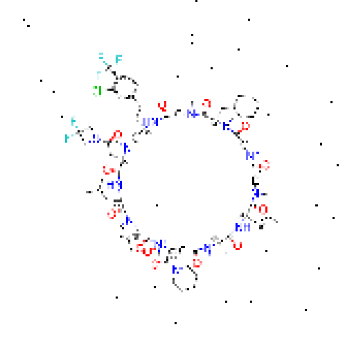 CC[C@H](C)[C@@H]1NC(=O)[C@H](C)N(C)C(=O)C[C@@H](C(=O)N2CCCCC2)[N+](C)([O-])C(=O)[C@H](C(C)C)N(C)C(=O)[C@H](CC(C)C)NC(=O)[C@H](CC(=O)N2CC(F)(F)C2)N(C)C[C@H](CCc2ccc(C(F)(F)F)c(Cl)c2)NC(=O)CN(C)C(=O)[C@H](CC2CCCCC2)N(C)C(=O)CN(C)C(=O)CN(C)C1=O